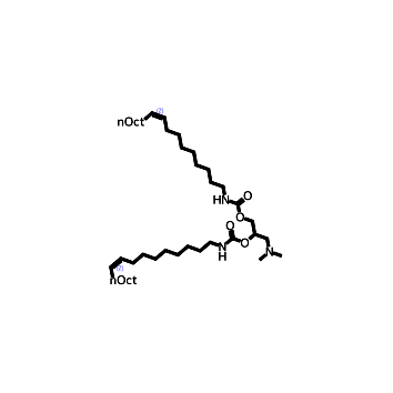 CCCCCCCC/C=C\CCCCCCCCNC(=O)OCC(CN(C)C)OC(=O)NCCCCCCCC/C=C\CCCCCCCC